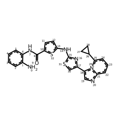 Nc1ccccc1NC(=O)c1ccc(Nc2nc(-c3cnc4cccc(C5CC5)n34)cs2)s1